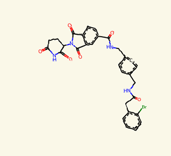 O=C(Cc1ccccc1Br)NCc1ccc(CNC(=O)c2ccc3c(c2)C(=O)N(C2CCC(=O)NC2=O)C3=O)cc1